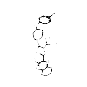 CC(C)[C@H](NC(=O)c1nc2c(nc1O)CCCC2)C(=O)N1CCC(Oc2ccc(F)cc2)CC1